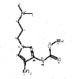 CN(C)CCCn1cc([N+](=O)[O-])c(NC(=O)OC(C)(C)C)n1